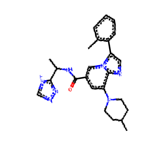 Cc1ccccc1-c1cnc2c(N3CCC(C)CC3)cc(C(=O)NC(C)c3nnc[nH]3)cn12